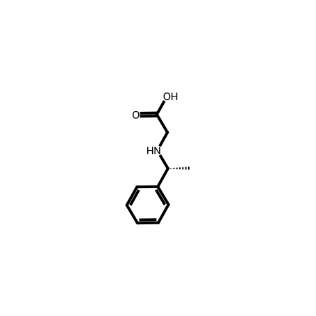 C[C@@H](NCC(=O)O)c1ccccc1